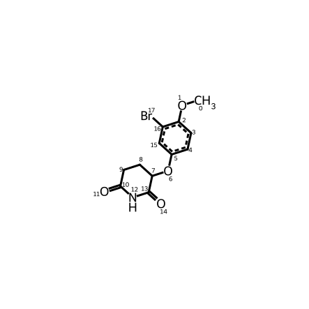 COc1ccc(OC2CCC(=O)NC2=O)cc1Br